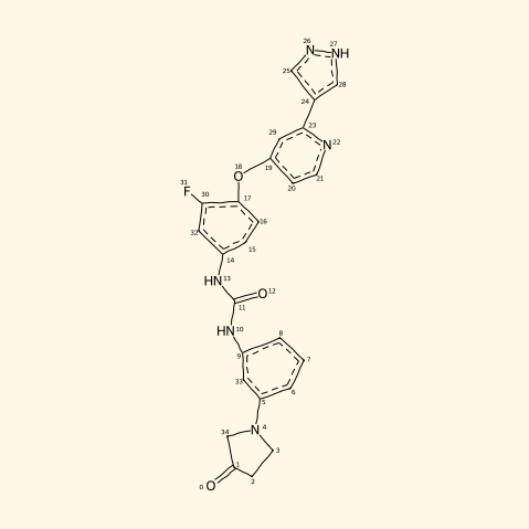 O=C1CCN(c2cccc(NC(=O)Nc3ccc(Oc4ccnc(-c5cn[nH]c5)c4)c(F)c3)c2)C1